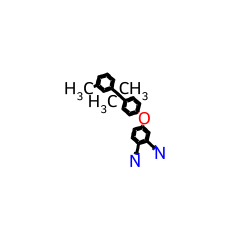 Cc1cccc(C(C)(C)c2ccc(Oc3ccc(C#N)c(C#N)c3)cc2)c1